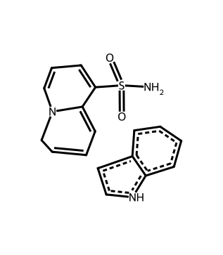 NS(=O)(=O)C1=CC=CN2CC=CC=C12.c1ccc2[nH]ccc2c1